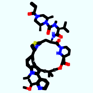 C=CC(=O)N1C[C@@H](C)N(C(=O)N(C)[C@H](C(=O)N[C@H]2Cc3nc(cs3)-c3ccc4c(c3)c(c(-c3cccnc3[C@H](C)OC)n4CC)CC(C)(C)COC(=O)[C@@H]3CCCN(N3)C2=O)C(C)C)[C@@H](C)C1